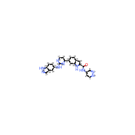 O=C(Nc1ccnnc1)c1cc2ccc(-c3ccnc(Nc4ccc5[nH]ncc5c4)n3)cc2[nH]1